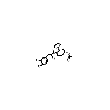 CC(=O)OC1CCC(N(C)C(=O)Cc2ccc(Cl)c(Cl)c2)C(N2CC=CC2)C1